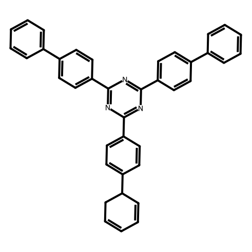 C1=CCC(c2ccc(-c3nc(-c4ccc(-c5ccccc5)cc4)nc(-c4ccc(-c5ccccc5)cc4)n3)cc2)C=C1